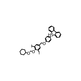 Ic1cc(COc2ccc([SH]3c4ccccc4-c4ccccc43)cc2)cc(I)c1OCOC1CCCCC1